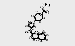 CC(C)(C)OC(=O)N1CCC(n2cc(Nc3ncc4cccc(I)c4n3)cn2)CC1